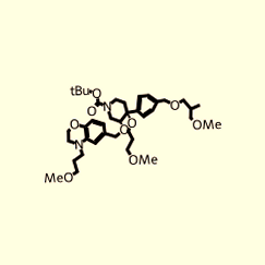 COCCCO[C@]1(c2ccc(COCC(C)COC)cc2)CCN(C(=O)OC(C)(C)C)C[C@@H]1OCc1ccc2c(c1)N(CCCOC)CCO2